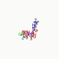 C=CC(=O)O.C=CC(N)=O.C=CC(N)=O.CC(C)CS(=O)(=O)O.CCC[N+](C)(C)C.[Cl-]